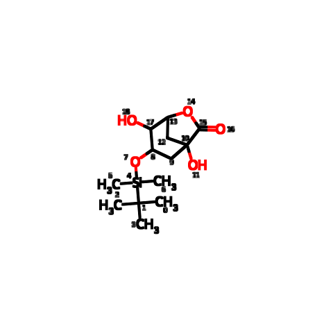 CC(C)(C)[Si](C)(C)OC1CC2(O)CC(OC2=O)C1O